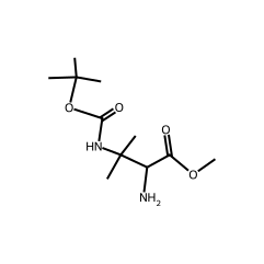 COC(=O)C(N)C(C)(C)NC(=O)OC(C)(C)C